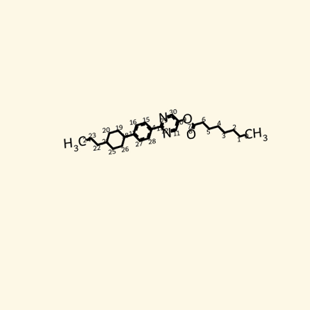 CCCCCCCC(=O)Oc1cnc(-c2ccc(C3CCC(CCC)CC3)cc2)nc1